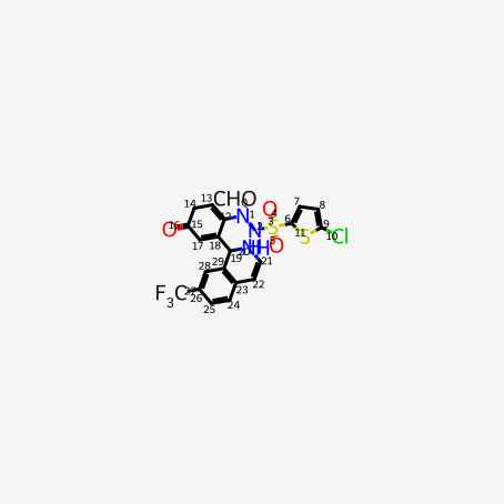 O=CN(NS(=O)(=O)c1ccc(Cl)s1)C1=CCC(=O)C=C1C1NC=Cc2ccc(C(F)(F)F)cc21